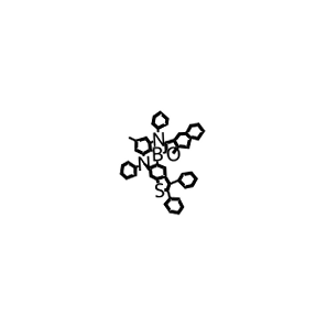 Cc1cc2c3c(c1)N(c1ccccc1)c1c(oc4cc5ccccc5cc14)B3c1cc3c(-c4ccccc4)c(-c4ccccc4)sc3cc1N2c1ccccc1